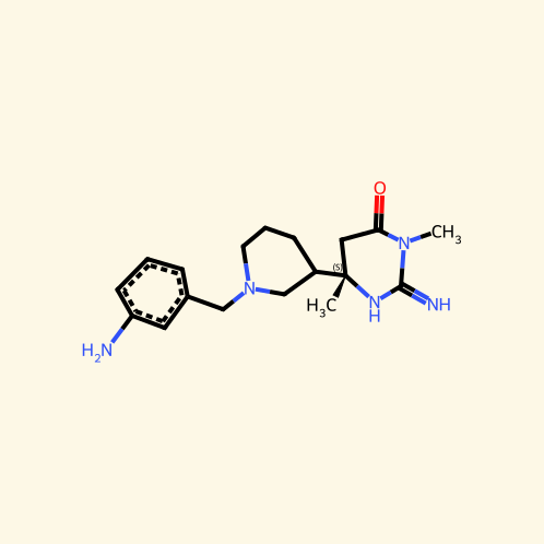 CN1C(=N)N[C@](C)(C2CCCN(Cc3cccc(N)c3)C2)CC1=O